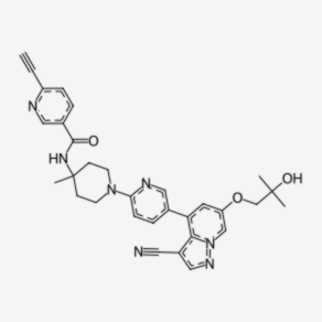 C#Cc1ccc(C(=O)NC2(C)CCN(c3ccc(-c4cc(OCC(C)(C)O)cn5ncc(C#N)c45)cn3)CC2)cn1